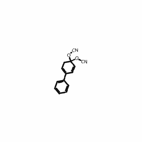 N#COC1(OC#N)C=CC(c2ccccc2)=CC1